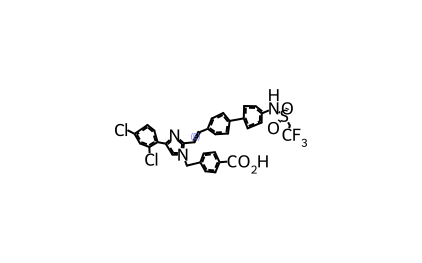 O=C(O)c1ccc(Cn2cc(-c3ccc(Cl)cc3Cl)nc2/C=C/c2ccc(-c3ccc(NS(=O)(=O)CC(F)(F)F)cc3)cc2)cc1